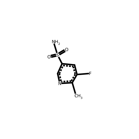 Cc1ncc(S(N)(=O)=O)cc1F